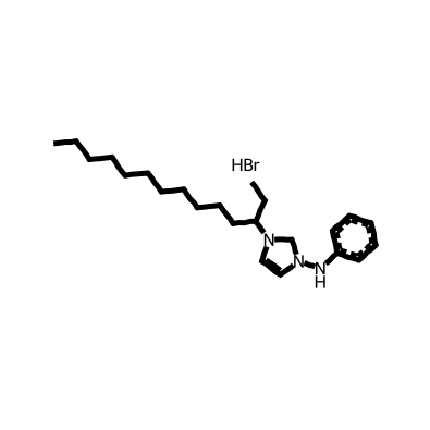 Br.CCCCCCCCCCCC(CC)N1C=CN(Nc2ccccc2)C1